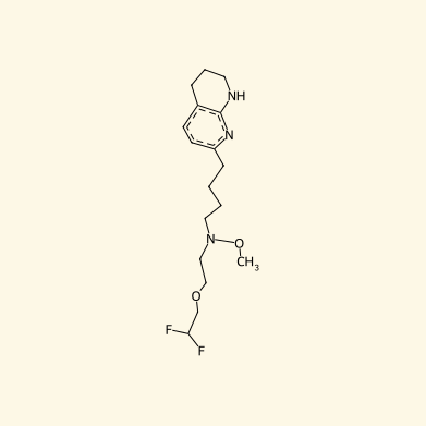 CON(CCCCc1ccc2c(n1)NCCC2)CCOCC(F)F